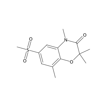 Cc1cc(S(C)(=O)=O)cc2c1OC(C)(C)C(=O)N2C